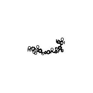 COc1cc(-c2cn(C)c(=O)c3cnccc23)cc(OC)c1CN1CC(CC(=O)N2CCC3(CC2)CC(Oc2ccc4c(c2)C(=O)N(C2CCC(=O)NC2=O)C4=O)C3)C1